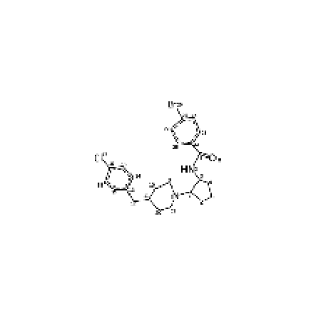 O=C(NC1CCCC1N1CCC(Cc2ccc(Cl)cc2)CC1)c1ccc(Br)cc1